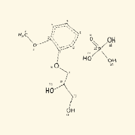 COc1ccccc1OCC(O)CO.O=P(O)(O)O